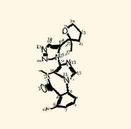 CN1C(=O)c2c(F)cccc2[N+]2C=NC(n3nncc3C3(C)CCCO3)=C12